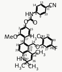 COc1cc(OC(=O)Nc2ccc(C#N)cc2)ccc1-c1ccc2c(c1COc1cc(F)ccc1C)C(C)=CC(C)(C)N2